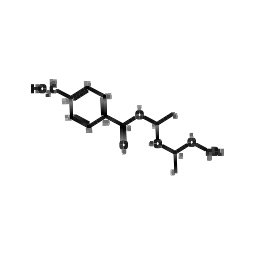 CCCCOC(C)OC(C)OC(=O)c1ccc(C(=O)O)cc1